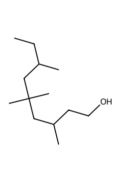 CCC(C)CC(C)(C)CC(C)CCO